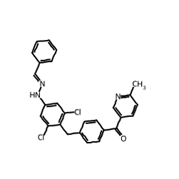 Cc1ccc(C(=O)c2ccc(Cc3c(Cl)cc(NN=Cc4ccccc4)cc3Cl)cc2)cn1